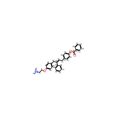 CN(C)CCOc1ccc(C/C(=C/Cc2ccc(OC(=O)c3ccccc3)cc2)c2ccccc2)cc1